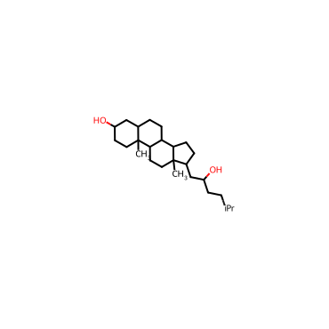 CC(C)CCC(O)CC1CCC2C3CCC4CC(O)CCC4(C)C3CCC12C